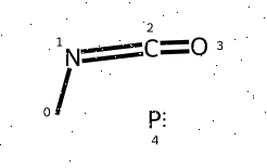 CN=C=O.[P]